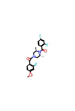 COc1ccc(C2OC2N2C[C@@H](C)N(C(=O)c3ccc(F)cc3F)[C@H](C)C2)c(F)c1